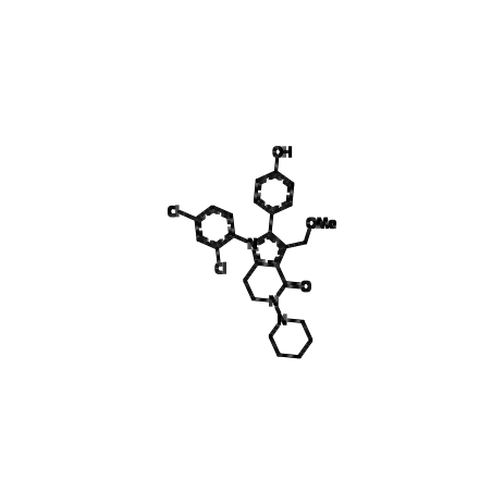 COCc1c2c(n(-c3ccc(Cl)cc3Cl)c1-c1ccc(O)cc1)CCN(N1CCCCC1)C2=O